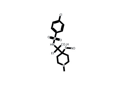 CCC(NS(=O)(=O)c1ccc(Cl)cc1)(C(=O)O)C1(SN=O)CCN(C)CC1